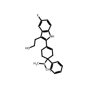 CN(C)C1(c2ccccc2)CC=C(c2[nH]c3ccc(F)cc3c2CCO)CC1